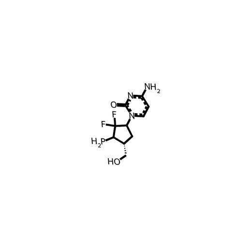 Nc1ccn(C2C[C@H](CO)C(P)C2(F)F)c(=O)n1